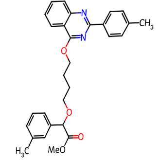 COC(=O)C(OCCCCOc1nc(-c2ccc(C)cc2)nc2ccccc12)c1cccc(C)c1